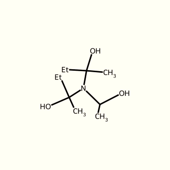 CCC(C)(O)N(C(C)O)C(C)(O)CC